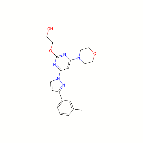 Cc1cccc(-c2ccn(-c3cc(N4CCOCC4)nc(OCCO)n3)n2)c1